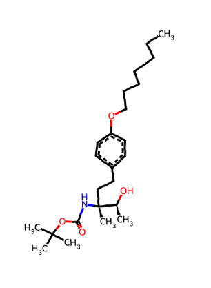 CCCCCCCOc1ccc(CC[C@@](C)(NC(=O)OC(C)(C)C)[C@H](C)O)cc1